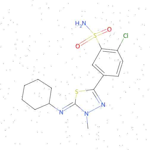 Cn1nc(-c2ccc(Cl)c(S(N)(=O)=O)c2)sc1=NC1CCCCC1